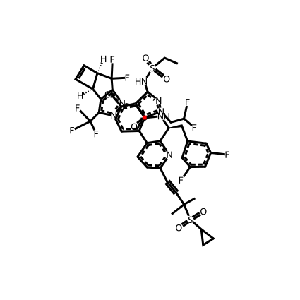 CCS(=O)(=O)Nc1nn(CC(F)F)c2c(-c3ccc(C#CC(C)(C)S(=O)(=O)C4CC4)nc3[C@H](Cc3cc(F)cc(F)c3)NC(=O)Cn3nc(C(F)(F)F)c4c3C(F)(F)[C@@H]3C=C[C@H]43)ccc(Cl)c12